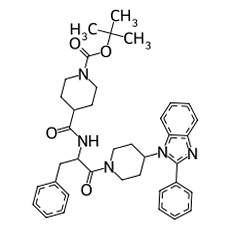 CC(C)(C)OC(=O)N1CCC(C(=O)NC(Cc2ccccc2)C(=O)N2CCC(n3c(-c4ccccc4)nc4ccccc43)CC2)CC1